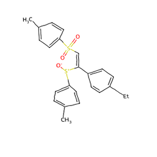 CCc1ccc(C(=CS(=O)(=O)c2ccc(C)cc2)[S+]([O-])c2ccc(C)cc2)cc1